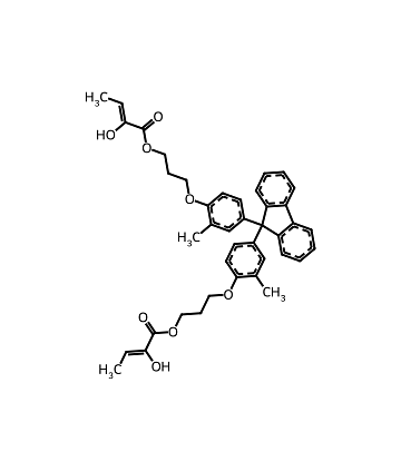 CC=C(O)C(=O)OCCCOc1ccc(C2(c3ccc(OCCCOC(=O)C(O)=CC)c(C)c3)c3ccccc3-c3ccccc32)cc1C